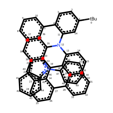 CC(C)(C)c1ccc(-c2ccccc2)c(N(c2ccccc2-c2cccc3cccc(-c4ccccc4)c23)c2cccc3c4ccccc4n(-c4ccccc4)c23)c1